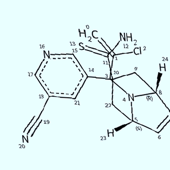 C=C(Cl)CN1[C@@H]2C=C[C@H]1CC(C(N)=S)(c1cncc(C#N)c1)C2